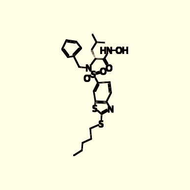 CCCCCSc1nc2ccc(S(=O)(=O)N(Cc3ccccc3)[C@H](CC(C)C)C(=O)NO)cc2s1